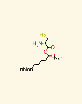 CCCCCCCCCCCCCC(=O)OC(=O)[C@@H](N)CS.[Na]